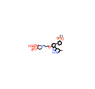 CCS(=O)(=O)c1cccc(-c2ccc(OCCCN3CCC(OP(=O)(O)O)CC3)c3[nH]c4ncc(C)cc4c23)c1